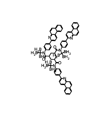 BC(B)(B)N(C(=O)C1CC(C(=O)N(c2ccc(-c3ccc4c(ccc5ccccc54)n3)cc2)C(B)(B)B)CC(C(=O)N(c2ccc(-c3ccc4c(ccc5ccccc54)n3)cc2)C(B)(B)B)C1)c1ccc(-c2ccc3c(ccc4ccccc43)n2)cc1